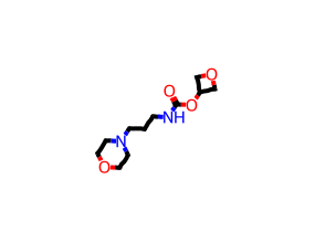 O=C(NCCCN1CCOCC1)OC1COC1